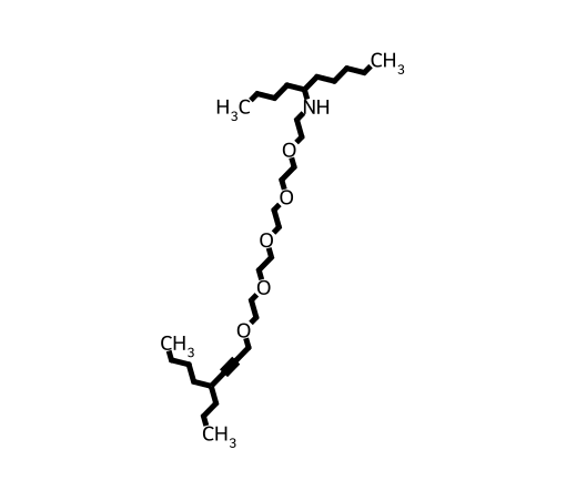 CCCCCC(CCCC)NCCOCCOCCOCCOCCOCC#CC(CCC)CCCC